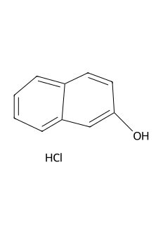 Cl.Oc1ccc2ccccc2c1